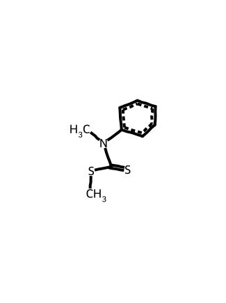 CSC(=S)N(C)c1ccccc1